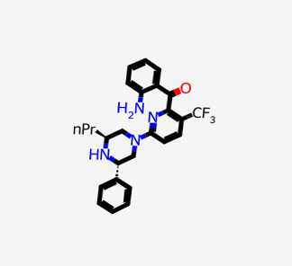 CCC[C@H]1CN(c2ccc(C(F)(F)F)c(C(=O)c3ccccc3N)n2)C[C@H](c2ccccc2)N1